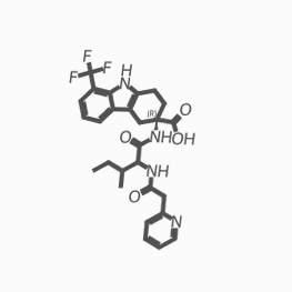 CCC(C)C(NC(=O)Cc1ccccn1)C(=O)N[C@]1(C(=O)O)CCc2[nH]c3c(C(F)(F)F)cccc3c2C1